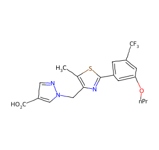 CCCOc1cc(-c2nc(Cn3cc(C(=O)O)cn3)c(C)s2)cc(C(F)(F)F)c1